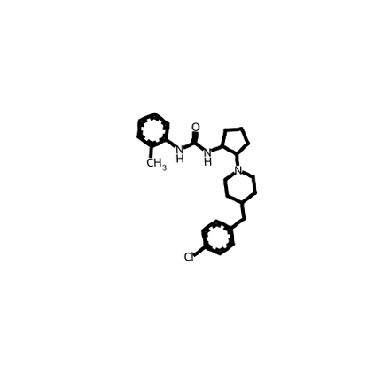 Cc1ccccc1NC(=O)NC1CCCC1N1CCC(Cc2ccc(Cl)cc2)CC1